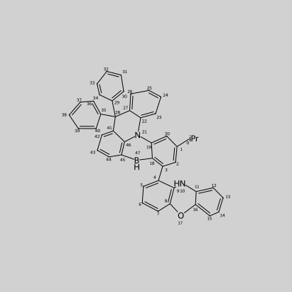 CC(C)c1cc(-c2cccc3c2Nc2ccccc2O3)c2c(c1)N1c3ccccc3C(c3ccccc3)(c3ccccc3)c3cccc(c31)B2